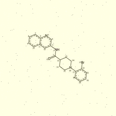 O=C(Nc1cnc2ccccc2c1)C1CCN(c2ccccc2Br)CC1